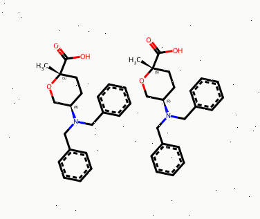 C[C@@]1(C(=O)O)CC[C@@H](N(Cc2ccccc2)Cc2ccccc2)CO1.C[C@@]1(C(=O)O)CC[C@@H](N(Cc2ccccc2)Cc2ccccc2)CO1